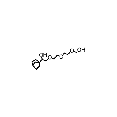 OCOCCOCCOCC(O)C12C=CC(CC1)C2